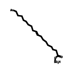 CC(=O)CCCCCCCCC=CCCCCCCCC(=O)OS(=O)(=O)O